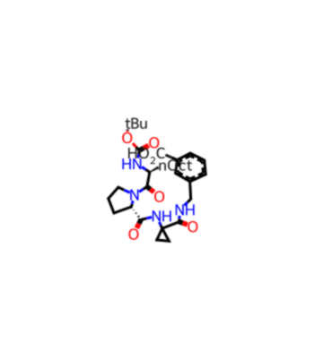 CCCCCCCC[C@H](NC(=O)OC(C)(C)C)C(=O)N1CCC[C@H]1C(=O)NC1(C(=O)NCc2cccc(C(=O)O)c2)CC1